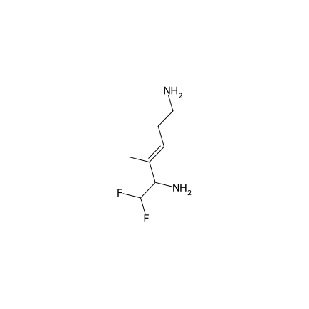 C/C(=C\CCN)C(N)C(F)F